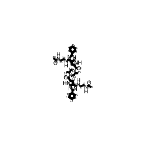 CC(=O)NCCNc1nc(-c2ccccc2)nc2[nH]c(C(=O)N3CC(C)N(C(=O)c4cc5c(NCCNC(C)=O)nc(-c6ccccc6)nc5[nH]4)CC3C)cc12